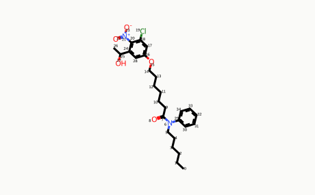 CCCCCCN(C(=O)CCCCCCOc1cc(Cl)c([N+](=O)[O-])c(C(C)O)c1)c1ccccc1